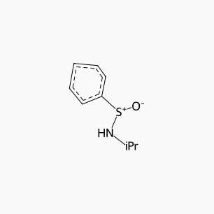 CC(C)N[S+]([O-])c1ccccc1